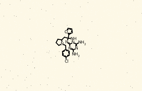 NC1=NC2=NC(CC3CCCN3Cc3ccc(Cl)cc3)(c3ccco3)NN2C(N)=N1